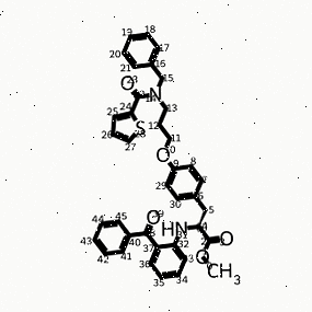 COC(=O)[C@H](Cc1ccc(OCCCN(Cc2ccccc2)C(=O)c2cccs2)cc1)Nc1ccccc1C(=O)c1ccccc1